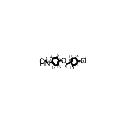 O=CNc1ccc(OCc2ccc(Cl)cc2)cc1